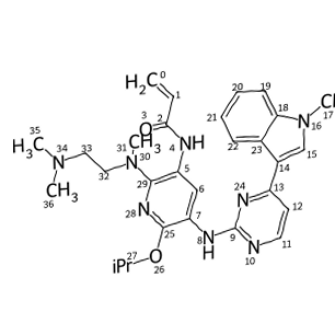 C=CC(=O)Nc1cc(Nc2nccc(-c3cn(C)c4ccccc34)n2)c(OC(C)C)nc1N(C)CCN(C)C